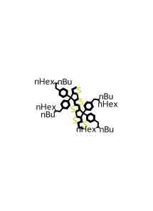 CCCCCCC(CCCC)Cc1ccc(C2(c3ccc(CC(CCCC)CCCCCC)cc3)c3ccsc3-c3sc4c5c(sc4c32)-c2sc3ccsc3c2C5(c2ccc(CC(CCCC)CCCCCC)cc2)c2ccc(CC(CCCC)CCCCCC)cc2)cc1